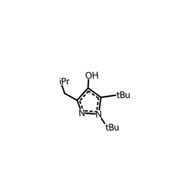 CC(C)Cc1nn(C(C)(C)C)c(C(C)(C)C)c1O